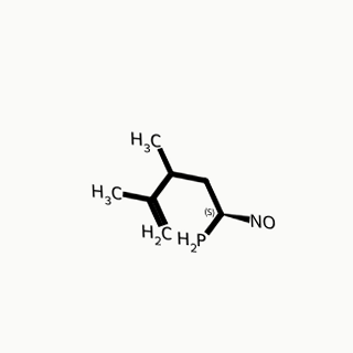 C=C(C)C(C)C[C@H](P)N=O